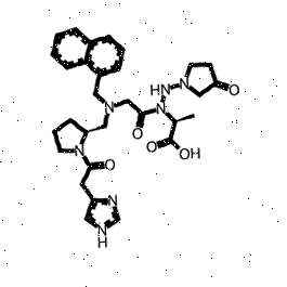 C[C@@H](C(=O)O)N(NN1CCC(=O)C1)C(=O)CN(Cc1cccc2ccccc12)C[C@@H]1CCCN1C(=O)Cc1c[nH]cn1